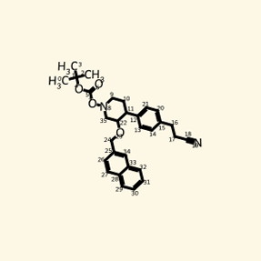 CC(C)(C)OC(=O)ON1CCC(c2ccc(CCC#N)cc2)C(OCc2ccc3ccccc3c2)C1